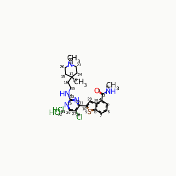 CNC(=O)c1cccc2sc(-c3nc(NCCC4(C)CCN(C)CC4)ncc3Cl)cc12.Cl.Cl